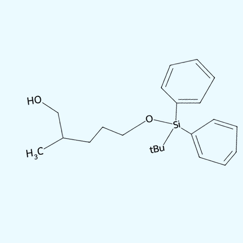 CC(CO)CCCO[Si](c1ccccc1)(c1ccccc1)C(C)(C)C